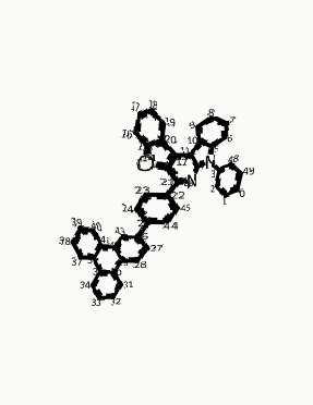 c1ccc(-n2c3ccccc3c3c4c(oc5ccccc54)c(-c4ccc(-c5ccc6c7ccccc7c7ccccc7c6c5)cc4)nc32)cc1